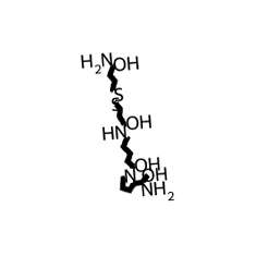 NC(O)CCCSSCCC(O)NCCCCC(O)N1CCCC1C(N)O